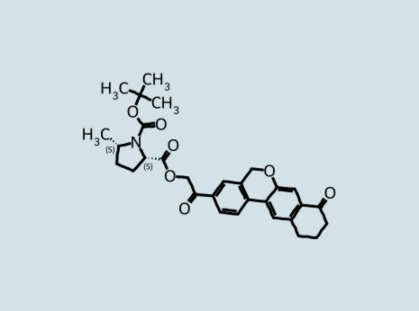 C[C@H]1CC[C@@H](C(=O)OCC(=O)c2ccc3c(c2)COc2cc4c(cc2-3)CCCC4=O)N1C(=O)OC(C)(C)C